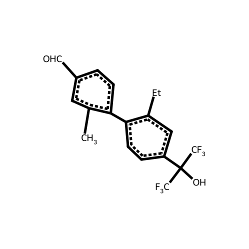 CCc1cc(C(O)(C(F)(F)F)C(F)(F)F)ccc1-c1ccc(C=O)cc1C